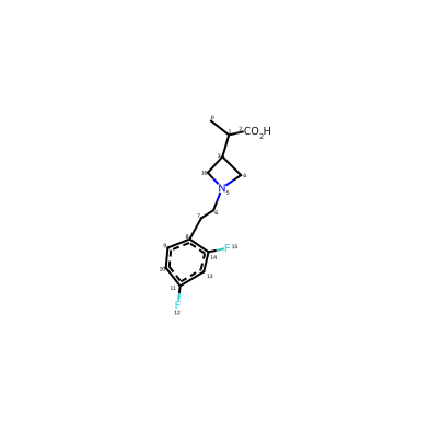 CC(C(=O)O)C1CN(CCc2ccc(F)cc2F)C1